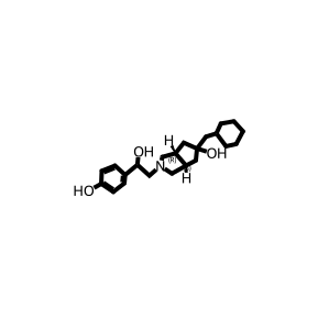 Oc1ccc(C(O)CN2C[C@@H]3CC(O)(CC4CCCCC4)C[C@@H]3C2)cc1